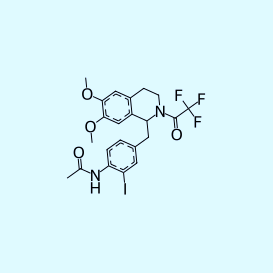 COc1cc2c(cc1OC)C(Cc1ccc(NC(C)=O)c(I)c1)N(C(=O)C(F)(F)F)CC2